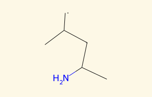 [CH2]C(C)CC(C)N